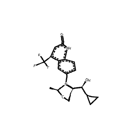 C[C@@H]1CC[C@H]([C@@H](O)C2CC2)N1c1ccc2[nH]c(=O)cc(C(F)(F)F)c2c1